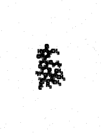 [2H]C[C@H]1OC[C@@H](n2cc(C)c(=O)[nH]c2=O)[C@H](OCCF)[C@@H]1OP(OCC[N+]#[C-])N(C(C)C)C(C)C